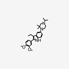 CCc1c(-c2ccc(OC)c(OC)c2)[nH]c2ccc(N3CCN(C(C)C)CC3(C)C)cc12